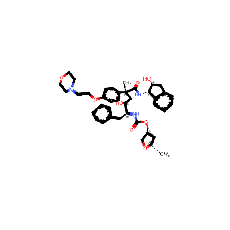 C[C@H]1C[C@H](OC(=O)N[C@@H](Cc2ccccc2)[C@@H](O)C[C@@](C)(C(=O)N[C@H]2c3ccccc3C[C@H]2O)c2ccc(OCCN3CCOCC3)cc2)CO1